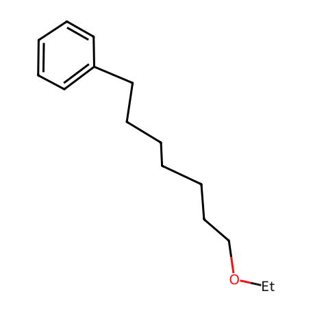 [CH2]COCCCCCCCc1ccccc1